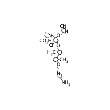 Cc1c(COc2cc(OCc3cncc(C#N)c3)c(CN3CCCC[C@H]3C(=O)O)cc2Cl)cccc1-c1cccc(OCCCN2CC3C(N)C3C2)c1C